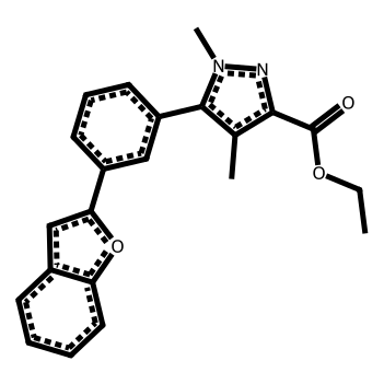 CCOC(=O)c1nn(C)c(-c2cccc(-c3cc4ccccc4o3)c2)c1C